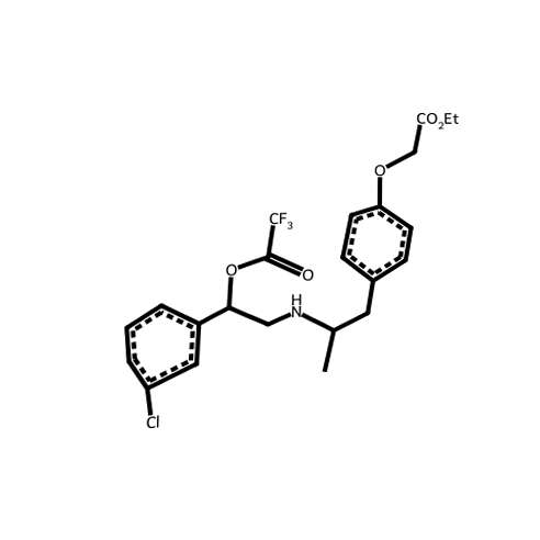 CCOC(=O)COc1ccc(CC(C)NCC(OC(=O)C(F)(F)F)c2cccc(Cl)c2)cc1